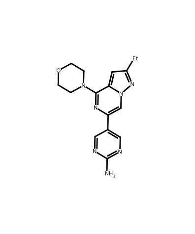 CCc1cc2c(N3CCOCC3)nc(-c3cnc(N)nc3)cn2n1